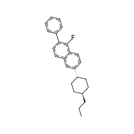 CCC[C@H]1CC[C@H](c2ccc3c(F)c(-c4ccccc4)ccc3c2)CC1